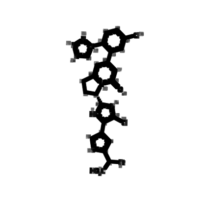 CCC(C(=O)O)c1cc(-c2[nH]c([C@@H]3CCc4cc(-c5cc(Cl)ccc5-n5cnnn5)cc(=O)n43)nc2Cl)cs1